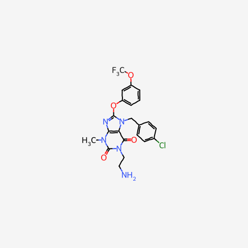 Cn1c(=O)n(CCN)c(=O)c2c1nc(Oc1cccc(OC(F)(F)F)c1)n2Cc1ccc(Cl)cc1